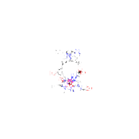 CCn1c(-c2cccnc2[C@H](C)OC)c2c3cc(ccc31)-c1cc(O)cc(c1)C[C@H](NC(=O)[C@H](C(C)C)N(C)C(=O)CN(C)C(=O)[C@H]1CN1CC1COC1)C(=O)N1CCC[C@H](N1)C(=O)OCC(C)(C)C2